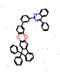 c1ccc(-c2nc(-c3cccc(-c4ccc5c(c4)Oc4cc6c(cc4O5)C(c4ccccc4)(c4ccccc4)c4ccccc4-6)c3)nc3ccccc23)cc1